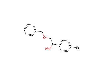 CCc1ccc(C(O)COCc2ccccc2)cc1